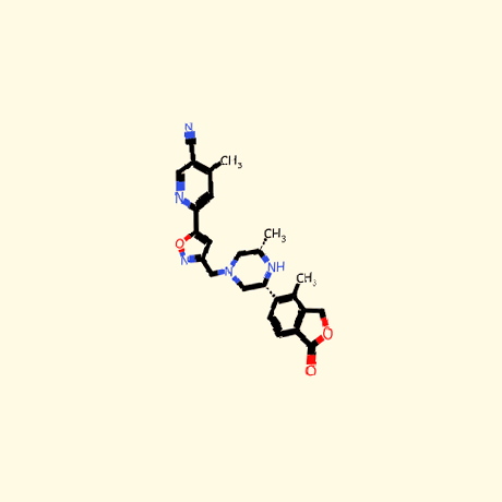 Cc1cc(-c2cc(CN3C[C@@H](c4ccc5c(c4C)COC5=O)N[C@@H](C)C3)no2)ncc1C#N